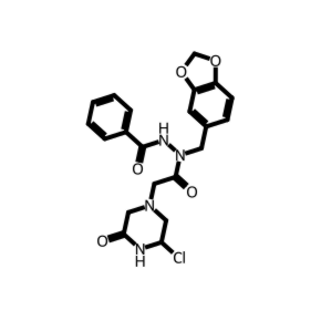 O=C1CN(CC(=O)N(Cc2ccc3c(c2)OCO3)NC(=O)c2ccccc2)CC(Cl)N1